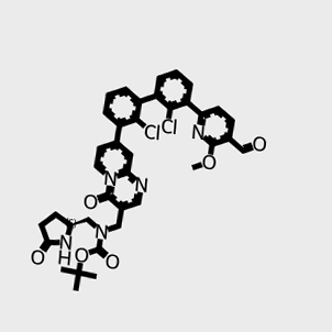 COc1nc(-c2cccc(-c3cccc(-c4ccn5c(=O)c(CN(C[C@@H]6CCC(=O)N6)C(=O)OC(C)(C)C)cnc5c4)c3Cl)c2Cl)ccc1C=O